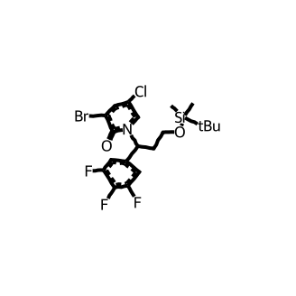 CC(C)(C)[Si](C)(C)OCCC(c1cc(F)c(F)c(F)c1)n1cc(Cl)cc(Br)c1=O